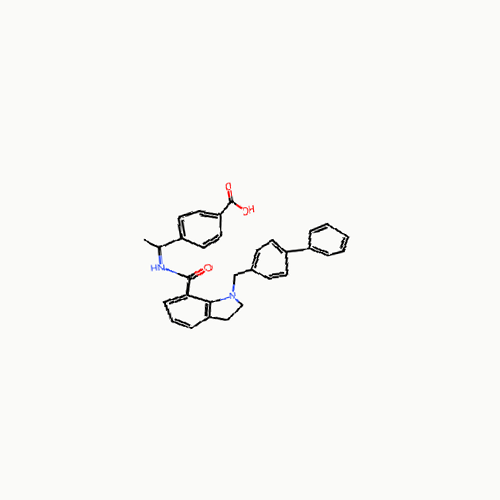 CC(NC(=O)c1cccc2c1N(Cc1ccc(-c3ccccc3)cc1)CC2)c1ccc(C(=O)O)cc1